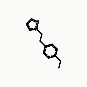 CCc1ccc(CCn2cccn2)cc1